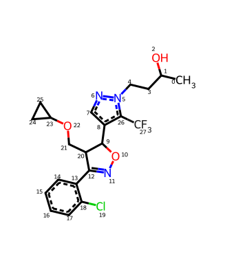 CC(O)CCn1ncc(C2ON=C(c3ccccc3Cl)C2COC2CC2)c1C(F)(F)F